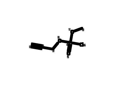 C#CCOP(=O)(Cl)OC